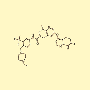 CCN1CCN(Cc2ccc(NC(=O)N3Cc4cc(Oc5ccnc6c5CCC(=O)N6)cnc4C(C)C3)cc2C(F)(F)F)CC1